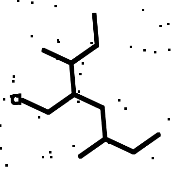 CCC(C)CC(CCl)C(C)CC